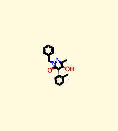 Cc1ccccc1-c1c(O)c(C)nn(Cc2ccccc2)c1=O